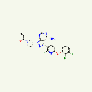 C=CC(=O)N1CCC(n2nc(-c3ccc(Oc4cccc(F)c4F)nc3F)c3c(N)ncnc32)C1